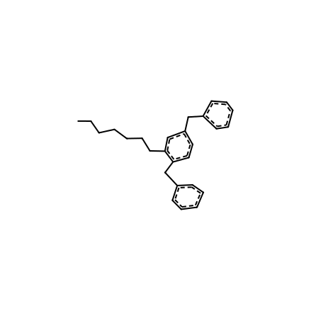 CCCCCCCc1cc(Cc2ccccc2)ccc1Cc1ccccc1